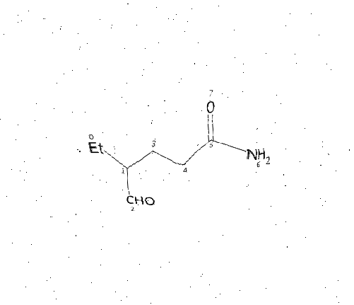 CCC(C=O)CCC(N)=O